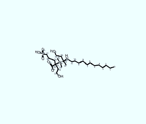 CCCCCCCCCCCCNC(C)(CCO)[N+](C)(C)C(CCO)(CCCS(=O)(=O)O)C(=O)[O-]